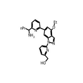 CCCC(N)c1cccc(-c2cc(OCC)c3cnn(-c4cccc(CO)n4)c3c2)n1